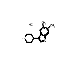 Cc1cc2occ(C3CCNCC3)c2cc1C.Cl